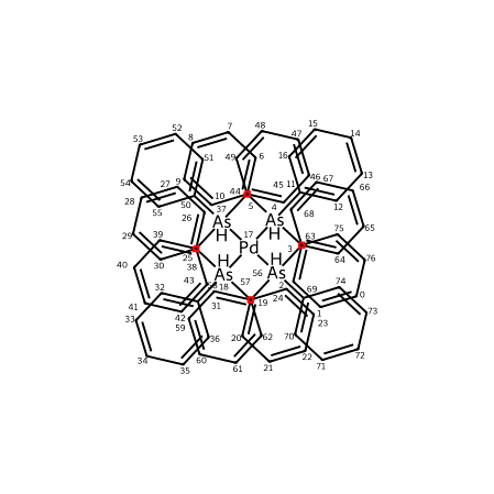 c1ccc([AsH](c2ccccc2)(c2ccccc2)[Pd]([AsH](c2ccccc2)(c2ccccc2)c2ccccc2)([AsH](c2ccccc2)(c2ccccc2)c2ccccc2)[AsH](c2ccccc2)(c2ccccc2)c2ccccc2)cc1